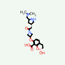 CN(C)CC1C[C@@H](CC(=O)N2CC(Oc3ccc4c(c3C(=O)O)OB(O)CC4)C2)CN1